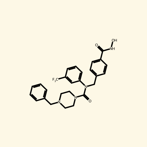 O=C(NO)c1ccc(CN(C(=O)N2CCN(Cc3ccccc3)CC2)c2cccc(C(F)(F)F)c2)cc1